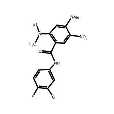 CCN(C)c1cc(NC)c([N+](=O)[O-])cc1C(=O)Nc1ccc(F)c(Cl)c1